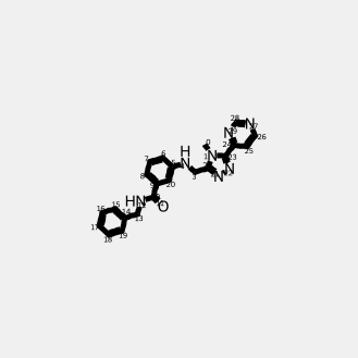 Cn1c(CNc2cccc(C(=O)NCc3ccccc3)c2)nnc1-c1ccncn1